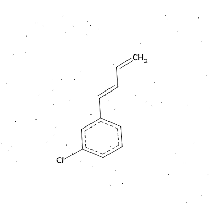 C=CC=Cc1cccc(Cl)c1